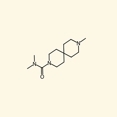 CN1CCC2(CC1)CCN(C(=O)N(C)C)CC2